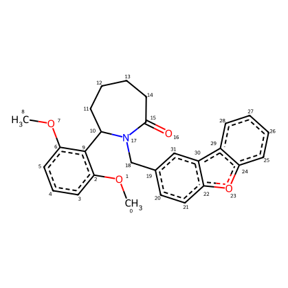 COc1cccc(OC)c1C1CCCCC(=O)N1Cc1ccc2oc3ccccc3c2c1